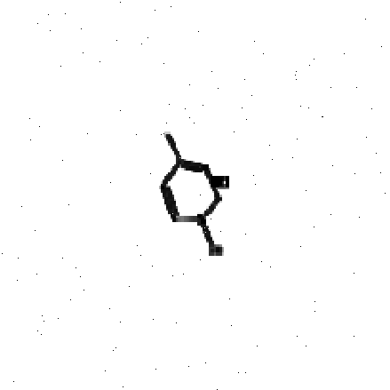 CCN1C=CC(C)=CC1.Cl